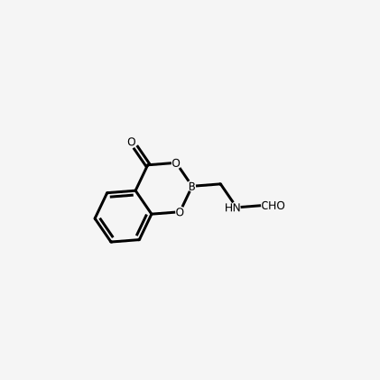 O=CNCB1OC(=O)c2ccccc2O1